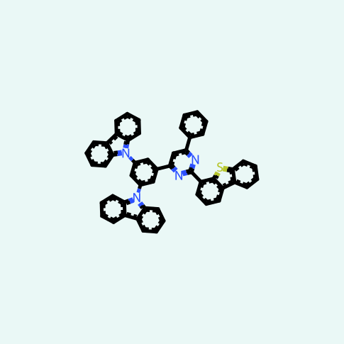 c1ccc(-c2cc(-c3cc(-n4c5ccccc5c5ccccc54)cc(-n4c5ccccc5c5ccccc54)c3)nc(-c3cccc4c3sc3ccccc34)n2)cc1